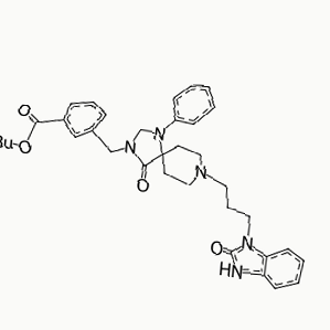 CC(C)(C)OC(=O)c1cccc(CN2CN(c3ccccc3)C3(CCN(CCCn4c(=O)[nH]c5ccccc54)CC3)C2=O)c1